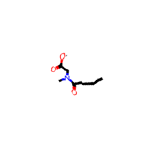 CCCC(=O)N(C)CC([O])=O